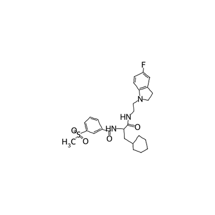 CS(=O)(=O)c1cccc(C(=O)NC(CC2CCCCC2)C(=O)NCCN2CCc3cc(F)ccc32)c1